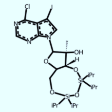 CC(C)[Si]1(C(C)C)OCC2OC(n3cc(I)c4c(Cl)ncnc43)[C@@](C)(O)[C@@H]2O[Si](C(C)C)(C(C)C)O1